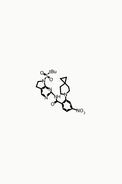 CC(C)(C)S(=O)(=O)N1CCc2cnc(NC(=O)c3ccc([N+](=O)[O-])cc3N3CCC4(CC3)CC4)nc21